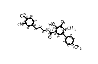 Cn1c(-c2ccc(C(F)(F)F)cc2)cc(C(=O)NCCCc2ccc(Cl)c(Cl)c2)c(O)c1=O